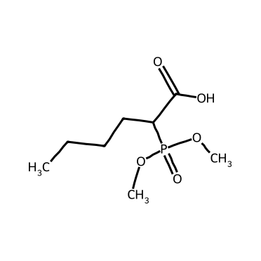 CCCCC(C(=O)O)P(=O)(OC)OC